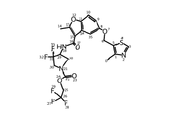 Cc1ncsc1COc1ccc2oc(C)c(C(=O)NC3CN(C(=O)OCC(F)(F)F)CC3(F)F)c2c1